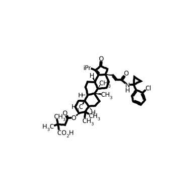 CC(C)C1=C2[C@H]3CC[C@@H]4[C@@]5(C)CC[C@H](OC(=O)CC(C)(C)C(=O)O)C(C)(C)[C@@H]5CC[C@@]4(C)[C@]3(C)CC[C@@]2(C=CC(=O)NC2(c3ccccc3Cl)CC2)CC1=O